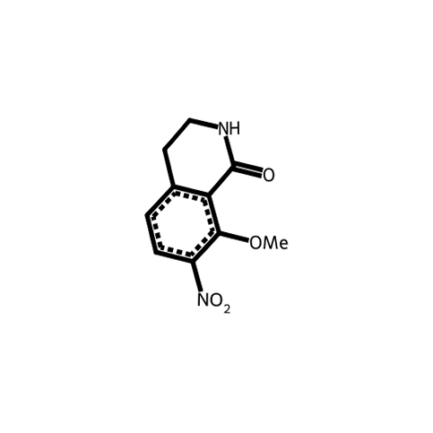 COc1c([N+](=O)[O-])ccc2c1C(=O)NCC2